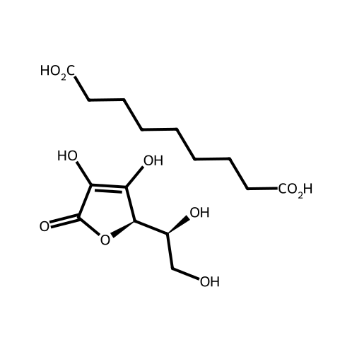 O=C(O)CCCCCCCC(=O)O.O=C1O[C@H]([C@@H](O)CO)C(O)=C1O